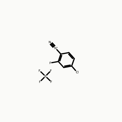 F[B-](F)(F)F.N#[N+]c1ccc(Cl)cc1F